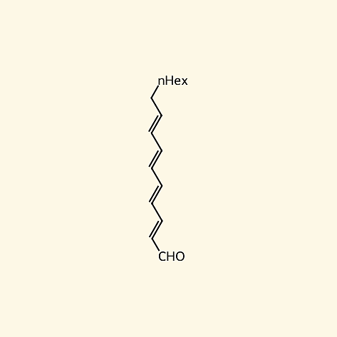 CCCCCCC/C=C/C=C/C=C/C=C/C=O